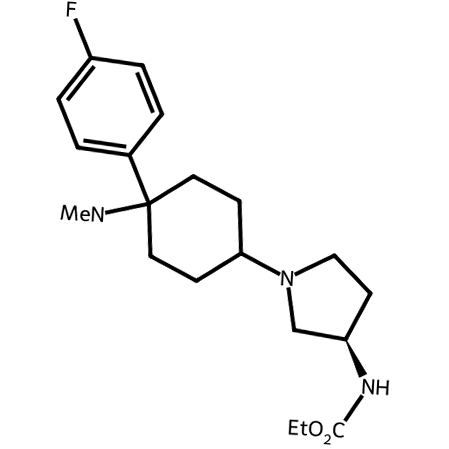 CCOC(=O)N[C@@H]1CCN(C2CCC(NC)(c3ccc(F)cc3)CC2)C1